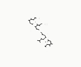 CC(C)C1OC(COC2OC(CO)C(O)C(OC3OC(C(=O)O)C(O)C(O)C3O)C2O)C(O)C(OC2OC(C(=O)O)C(O)C(O)C2O)C1O